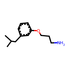 CC(C)Cc1cccc(OCCCN)c1